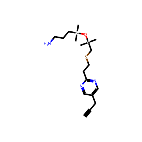 C#CCc1cnc(CCSC[Si](C)(C)O[Si](C)(C)CCCN)nc1